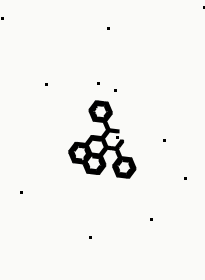 CC(C1=Cc2cccc3cccc(c23)C1C(C)c1ccccc1)c1ccccc1